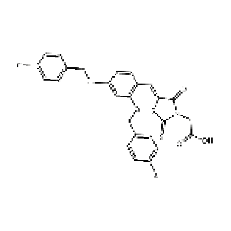 O=C(O)CN1C(=O)C(=Cc2ccc(OCc3ccc(Cl)cc3)cc2OCc2ccc(Cl)cc2)SC1=S